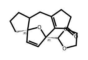 O=C1CCC2=C1[C@@]1(C3OCCO3)C=C[C@]3(CCCC3C2)O1